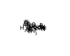 C[C@@](CCn1cc(F)c(-c2ccc(-n3nccn3)c(F)c2)cc1=O)(C(=O)NOC1CCCCO1)S(C)(=O)=O